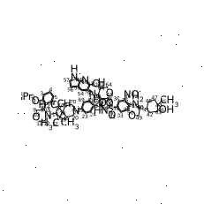 CC(C)Oc1ccccc1[C@@H]1COCCN1C1C(C)(C)C2(CCN(c3ccc(C(=O)NS(=O)(=O)c4cc5c(c([N+](=O)[O-])c4)N[C@H](C4CCC(C)(O)CC4)CO5)c(N4c5cc6cc[nH]c6nc5O[C@H]5COCC[C@@H]54)c3)CC2)C1(C)C